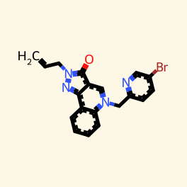 C=CCn1nc2c3ccccc3n(Cc3ccc(Br)cn3)cc-2c1=O